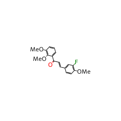 COc1ccc(/C=C/C(=O)c2cccc(OC)c2OC)cc1F